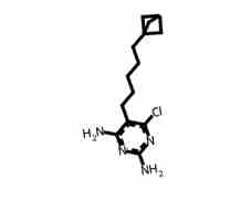 Nc1nc(N)c(CCCCCC23CC(C2)C3)c(Cl)n1